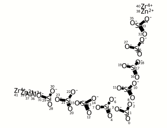 O=[Si]([O-])[O-].O=[Si]([O-])[O-].O=[Si]([O-])[O-].O=[Si]([O-])[O-].O=[Si]([O-])[O-].O=[Si]([O-])[O-].O=[Si]([O-])[O-].O=[Si]([O-])[O-].O=[Si]([O-])[O-].[Al+3].[Al+3].[Zn+2].[Zn+2].[Zr+4].[Zr+4]